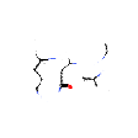 CC(C)C(N)C(=O)O.NC(=O)CC(N)C(=O)O.NCC(=O)O.NCCCC(N)C(=O)O